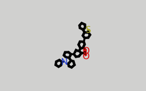 O=c1oc2cc(-c3ccc4sc5ccccc5c4c3)ccc2c2cc(-c3cccc4c3c3ccccc3n4-c3ccccc3)ccc12